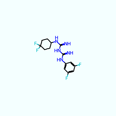 N=C(NC(=N)NC1CCC(F)(F)CC1)Nc1cc(F)cc(F)c1